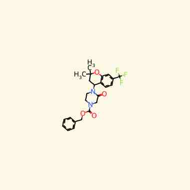 CC1(C)CC(N2CCN(C(=O)OCc3ccccc3)CC2=O)c2ccc(C(F)(F)F)cc2O1